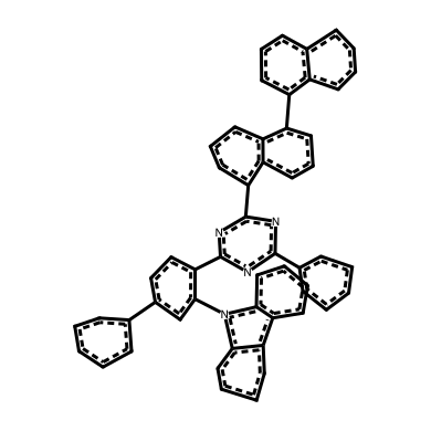 c1ccc(-c2ccc(-c3nc(-c4ccccc4)nc(-c4cccc5c(-c6cccc7ccccc67)cccc45)n3)c(-n3c4ccccc4c4ccccc43)c2)cc1